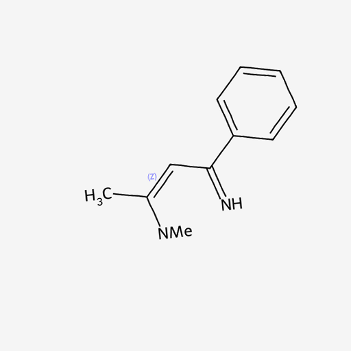 CN/C(C)=C\C(=N)c1ccccc1